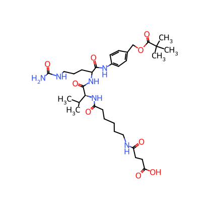 CC(C)[C@H](NC(=O)CCCCCNC(=O)CCC(=O)O)C(=O)NC(CCCNC(N)=O)C(=O)Nc1ccc(COC(=O)C(C)(C)C)cc1